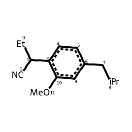 [CH2]CC(C#N)c1ccc(CC(C)C)cc1OC